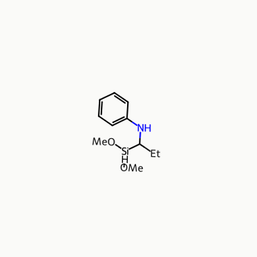 CCC(Nc1ccccc1)[SiH](OC)OC